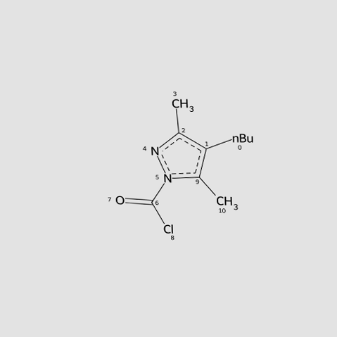 CCCCc1c(C)nn(C(=O)Cl)c1C